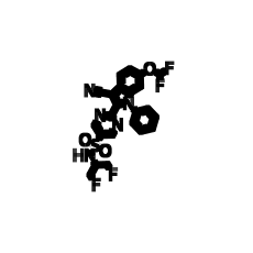 N#Cc1c(-c2ncc(S(=O)(=O)NC(CF)CF)cn2)n(-c2ccccc2)c2cc(OC(F)F)ccc12